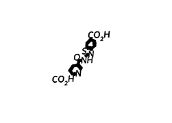 O=C(O)c1ccc2nc(NC(=O)c3ccc(C(=O)O)nc3)sc2c1